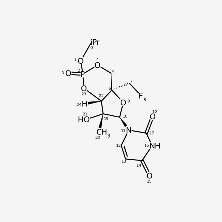 CC(C)OP1(=O)OC[C@@]2(CF)O[C@@H](n3ccc(=O)[nH]c3=O)[C@](C)(O)[C@@H]2O1